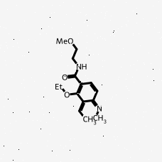 C/C=C1/C(OCC)=C(C(=O)NCCOC)C=C/C1=N/C